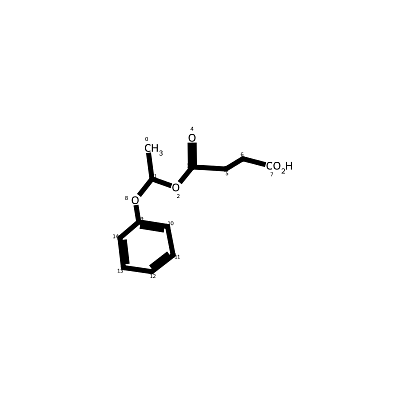 CC(OC(=O)CCC(=O)O)Oc1ccccc1